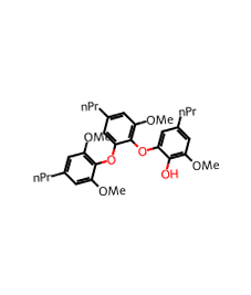 CCCc1cc(OC)c(O)c(Oc2c(OC)cc(CCC)cc2Oc2c(OC)cc(CCC)cc2OC)c1